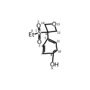 CCS(=O)(=O)C1(c2ccc(O)cc2)COC1